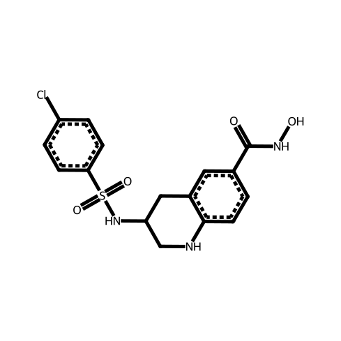 O=C(NO)c1ccc2c(c1)CC(NS(=O)(=O)c1ccc(Cl)cc1)CN2